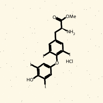 COC(=O)[C@@H](N)Cc1cc(I)c(Oc2cc(I)c(O)c(I)c2)c(I)c1.Cl